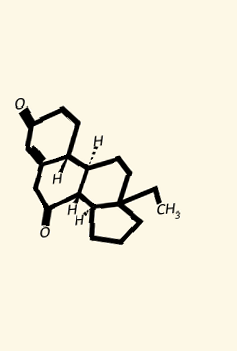 CCC12CCC[C@H]1[C@@H]1C(=O)CC3=CC(=O)CC[C@@H]3[C@H]1CC2